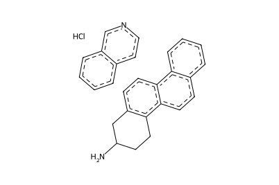 Cl.NC1CCc2c(ccc3c2ccc2ccccc23)C1.c1ccc2cnccc2c1